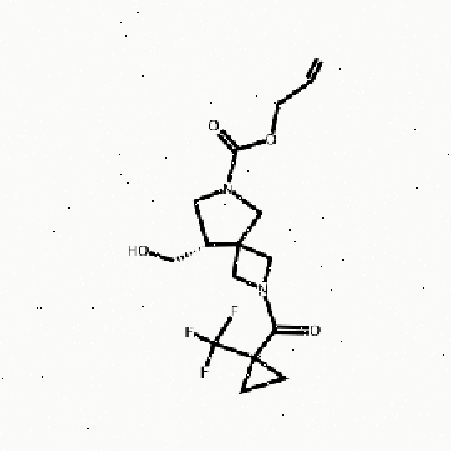 C=CCOC(=O)N1C[C@@H](CO)C2(C1)CN(C(=O)C1(C(F)(F)F)CC1)C2